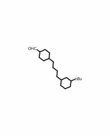 CCCCC1CCCC(CCCCC2CCC(C=O)CC2)C1